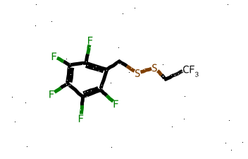 Fc1c(F)c(F)c(CSSCC(F)(F)F)c(F)c1F